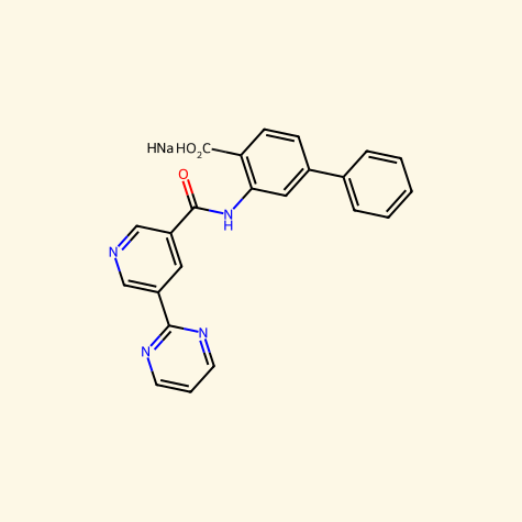 O=C(Nc1cc(-c2ccccc2)ccc1C(=O)O)c1cncc(-c2ncccn2)c1.[NaH]